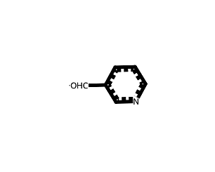 O=[C]c1cccnc1